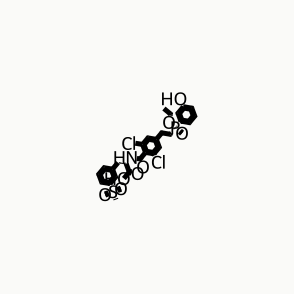 CCOP(=O)(CCc1cc(Cl)c(C(=O)N[C@@H](Cc2cccc(S(C)(=O)=O)c2)C(=O)O)c(Cl)c1)c1cccc(O)c1